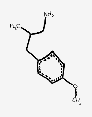 COc1ccc(CC(C)CN)cc1